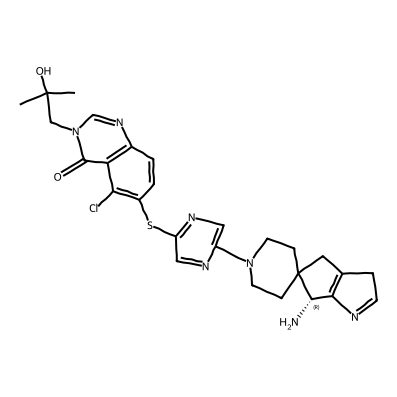 CC(C)(O)Cn1cnc2ccc(Sc3cnc(N4CCC5(CC4)CC4=C(N=CC4)[C@@H]5N)cn3)c(Cl)c2c1=O